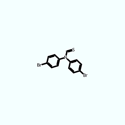 S=[C]N(c1ccc(Br)cc1)c1ccc(Br)cc1